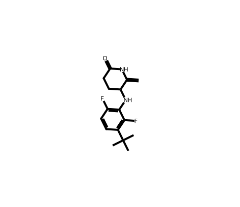 C=C1NC(=O)CCC1Nc1c(F)ccc(C(C)(C)C)c1F